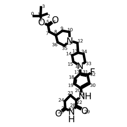 CC(C)(C)OC(=O)CC1CCN(CC2CCN(c3ccc(NC4CCC(=O)NC4=O)cc3F)CC2)CC1